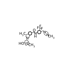 COCC(CC(=O)O)N1Cc2cc(C(=O)Nc3ccc(CN4CCN(C)CC4)c(C(F)(F)F)c3)ccc2[C@@H](C)C1